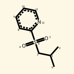 CC(C)CS(=O)(=O)c1ccccn1